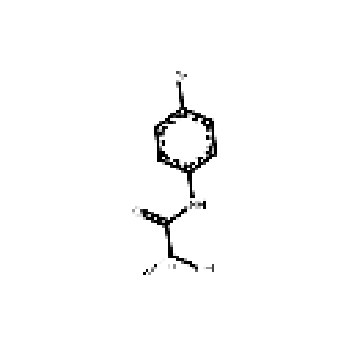 C[C@@H](O)C(=O)Nc1ccc(Br)cc1